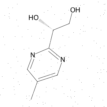 Cc1cnc([C@H](O)CO)nc1